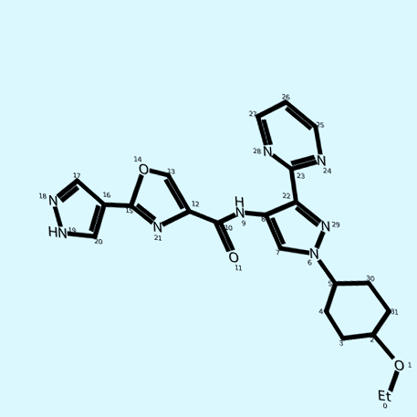 CCOC1CCC(n2cc(NC(=O)c3coc(-c4cn[nH]c4)n3)c(-c3ncccn3)n2)CC1